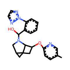 Cc1ccc(OC2CC34CC3CN(C(O)c3ccccc3-n3nccn3)C24)nc1